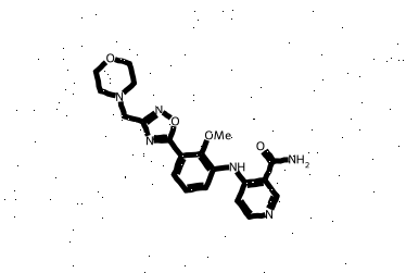 COc1c(Nc2ccncc2C(N)=O)cccc1-c1nc(CN2CCOCC2)no1